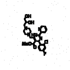 COC(=O)C1=C(CN2CCN(CC(O)CO)CC2)NC(c2ccccn2)=NC1c1ccc(F)cc1Cl